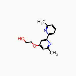 Cc1cccc(-c2cc(OCCO)cc(C)n2)n1